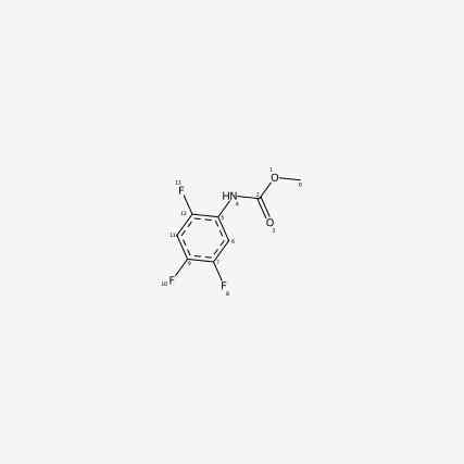 COC(=O)Nc1cc(F)c(F)cc1F